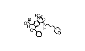 O=C(c1ccccc1)c1cc(C(=O)NCCCN2CCOCC2)c([N+](=O)[O-])cc1C[SH](=O)=O